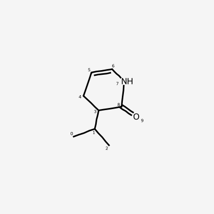 CC(C)C1CC=CNC1=O